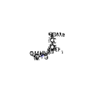 COCc1ccc(/C=C/C(=O)NCc2cc3cc(-c4ccc(C(=O)OC)cc4)cc(C(F)(F)F)c3o2)cn1